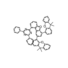 CC1(C)c2ccccc2Oc2c(-c3cc(-c4cccc5c4Oc4ccccc4C5(C)C)c4oc5cccc(-c6nc(-c7ccccc7)nc(-c7ccccc7)n6)c5c4c3)cccc21